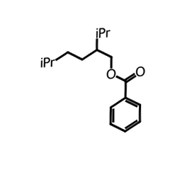 CC(C)CCC(COC(=O)c1ccccc1)C(C)C